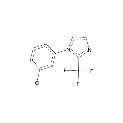 FC(F)(F)c1nccn1-c1cccc(Cl)c1